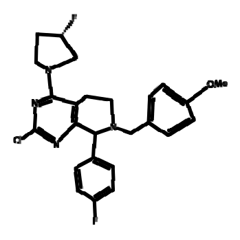 COc1ccc(CN2CCc3c(nc(Cl)nc3N3CC[C@H](F)C3)C2c2ccc(F)cc2)cc1